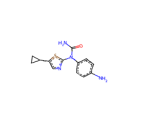 NC(=O)N(c1ccc(N)cc1)c1ncc(C2CC2)s1